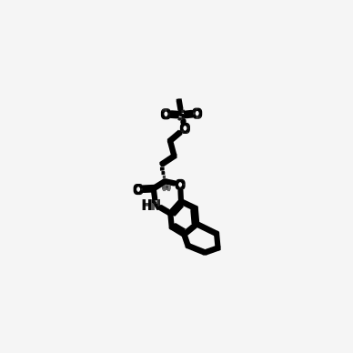 CS(=O)(=O)OCCC[C@@H]1Oc2cc3c(cc2NC1=O)CCCC3